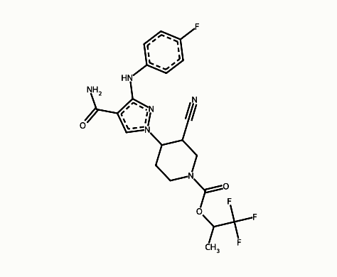 CC(OC(=O)N1CCC(n2cc(C(N)=O)c(Nc3ccc(F)cc3)n2)C(C#N)C1)C(F)(F)F